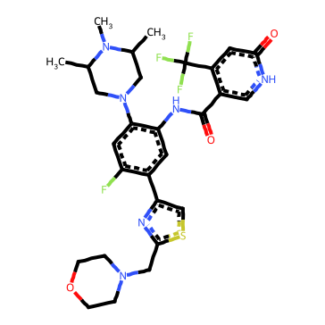 CC1CN(c2cc(F)c(-c3csc(CN4CCOCC4)n3)cc2NC(=O)c2c[nH]c(=O)cc2C(F)(F)F)CC(C)N1C